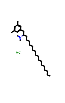 CCCCCCCCCCCCCCCCCC(Cc1cc(C)cc(C)c1)N(C)C.Cl